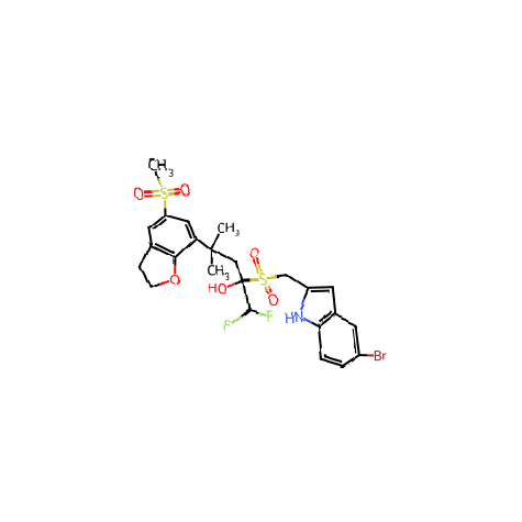 CC(C)(CC(O)(C(F)F)S(=O)(=O)Cc1cc2cc(Br)ccc2[nH]1)c1cc(S(C)(=O)=O)cc2c1OCC2